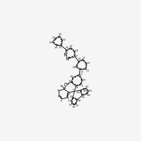 CC12CC=CC=C1C1(c3ccc(-c4cccc(-c5ccc(-c6ccccc6)nn5)c4)cc3O2)c2ccccc2-c2ccccc21